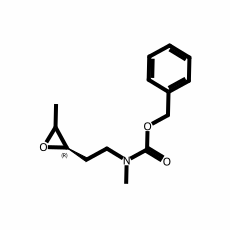 CC1O[C@@H]1CCN(C)C(=O)OCc1ccccc1